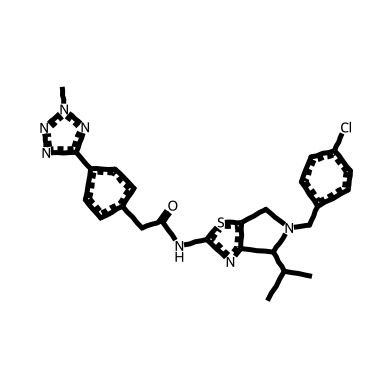 CC(C)C1c2nc(NC(=O)Cc3ccc(-c4nnn(C)n4)cc3)sc2CN1Cc1ccc(Cl)cc1